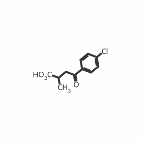 CC(CC(=O)c1ccc(Cl)cc1)C(=O)O